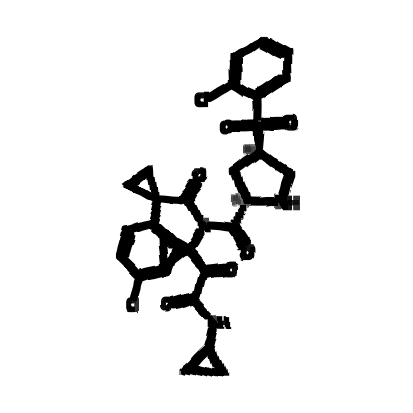 O=C(NC1CC1)C(=O)C1(N(C(=O)[C@@H]2C[C@@H](S(=O)(=O)c3ccccc3Cl)CN2)C(=O)C2(c3ccc(Cl)cc3)CC2)CC1